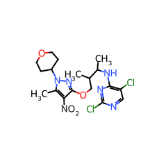 Cc1c([N+](=O)[O-])c(OCC(C)C(C)Nc2nc(Cl)ncc2Cl)nn1C1CCOCC1